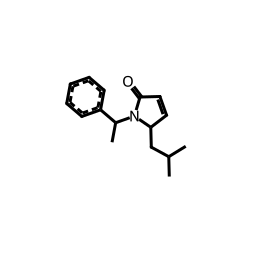 CC(C)CC1C=CC(=O)N1C(C)c1ccccc1